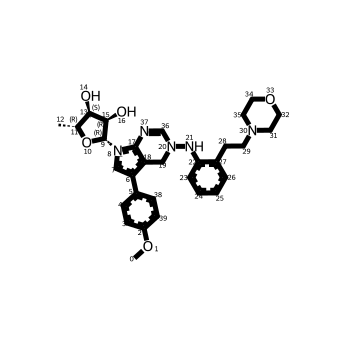 COc1ccc(-c2cn([C@@H]3O[C@H](C)[C@@H](O)[C@H]3O)c3c2CN(Nc2ccccc2CCN2CCOCC2)C=N3)cc1